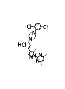 Cc1cc(C)nc(-n2ncc(C=CCN3CCN(c4cc(Cl)ccc4Cl)CC3)c2C)n1.Cl